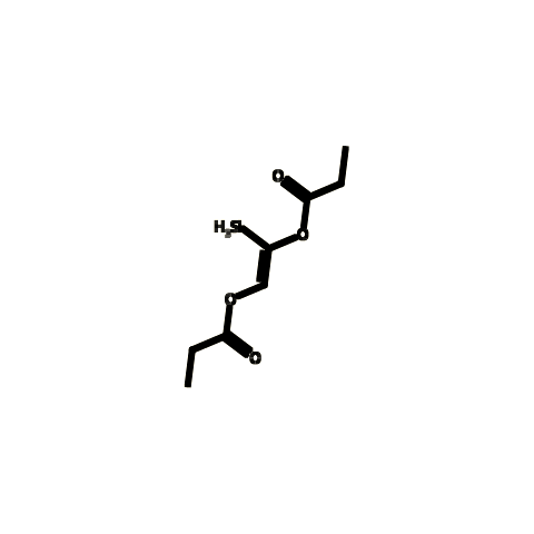 CCC(=O)OC=C([SiH3])OC(=O)CC